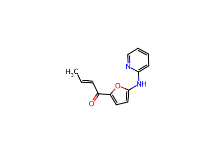 CC=CC(=O)c1ccc(Nc2ccccn2)o1